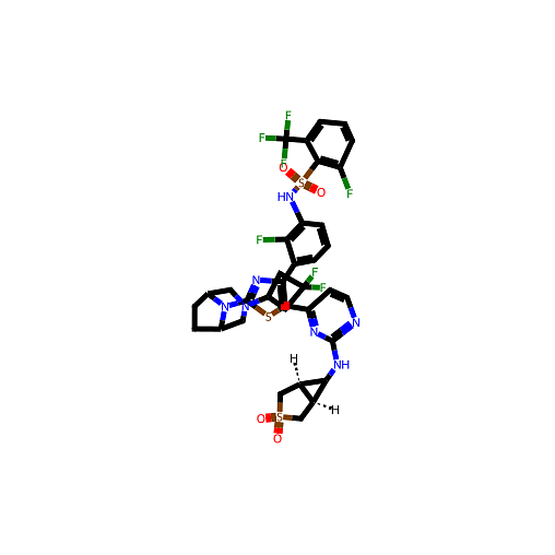 O=S1(=O)C[C@@H]2C(Nc3nccc(-c4sc(N5C6CCC5CN(C5CC(F)(F)C5)C6)nc4-c4cccc(NS(=O)(=O)c5c(F)cccc5C(F)(F)F)c4F)n3)[C@@H]2C1